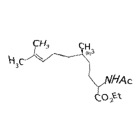 CCOC(=O)C(CC[C@H](C)CCC=C(C)C)NC(C)=O